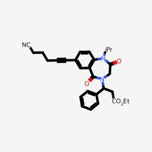 CCOC(=O)CC(c1ccccc1)N1CC(=O)N(C(C)C)c2ccc(C#CCCCC#N)cc2C1=O